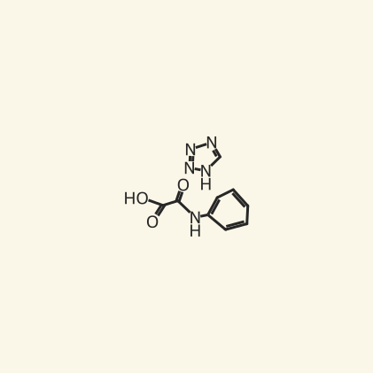 O=C(O)C(=O)Nc1ccccc1.c1nnn[nH]1